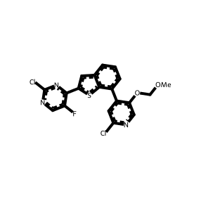 COCOc1cnc(Cl)cc1-c1cccc2cc(-c3nc(Cl)ncc3F)sc12